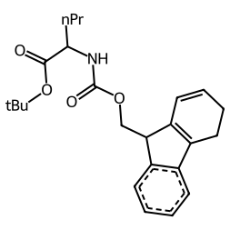 CCCC(NC(=O)OCC1C2=C(CCC=C2)c2ccccc21)C(=O)OC(C)(C)C